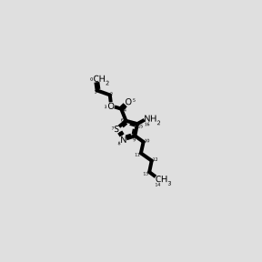 C=CCOC(=O)c1snc(CCCCC)c1N